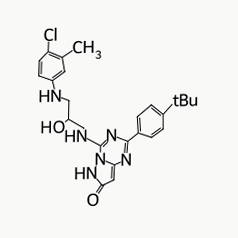 Cc1cc(NCC(O)CNc2nc(-c3ccc(C(C)(C)C)cc3)nc3cc(=O)[nH]n23)ccc1Cl